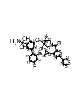 CC(C)(N)c1cc(OC2[C@H]3CN(C(=O)c4sc(-c5cscn5)nc4C4CC4)C[C@@H]23)nc(-c2ccc(F)cc2F)c1